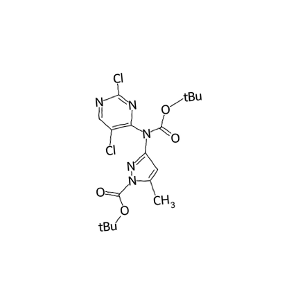 Cc1cc(N(C(=O)OC(C)(C)C)c2nc(Cl)ncc2Cl)nn1C(=O)OC(C)(C)C